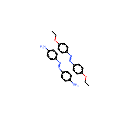 CCOc1ccc(/N=N/c2ccc(OCC)cc2)cc1.Nc1ccc(/N=N/c2ccc(N)cc2)cc1